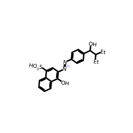 CCC(CC)C(O)c1ccc(/N=N/c2cc(S(=O)(=O)O)c3ccccc3c2O)cc1